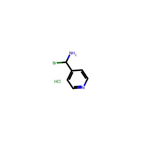 Cl.NC(Br)c1ccncc1